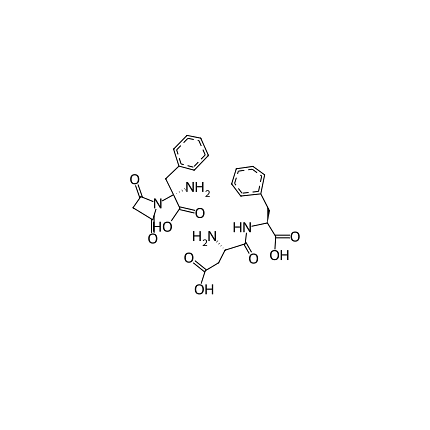 N[C@@H](CC(=O)O)C(=O)N[C@@H](Cc1ccccc1)C(=O)O.N[C@](Cc1ccccc1)(C(=O)O)N1C(=O)CC1=O